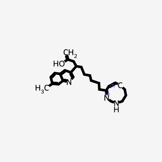 C=C(O)CC(CCCCCCC1=N/CNCCCC/C=C\1)c1cnc2cc(C)ccc2c1